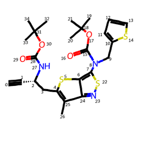 C#C[C@@H](Cc1sc2c(N(Cc3cccs3)C(=O)OC(C)(C)C)snc2c1C)NC(=O)OC(C)(C)C